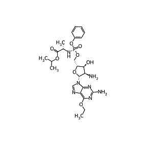 CCOc1nc(N)nc2c1ncn2[C@@H]1O[C@H](CO[P@@](=O)(N[C@@H](C)C(=O)OC(C)C)Oc2ccccc2)[C@@H](O)[C@H]1N